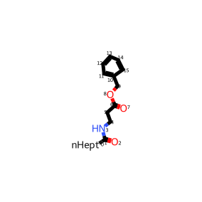 CCCCCCCC(=O)NCCC(=O)OCc1ccccc1